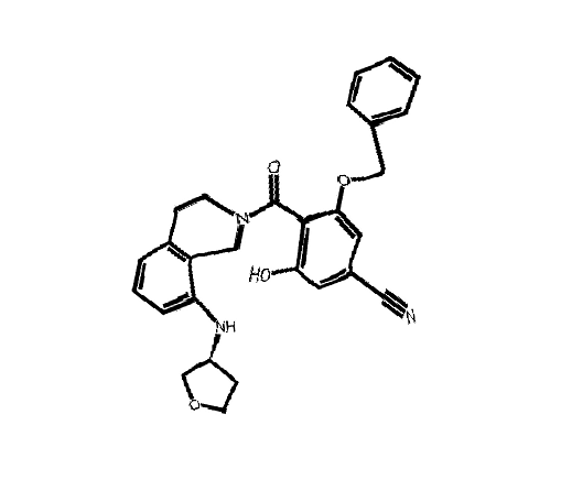 N#Cc1cc(O)c(C(=O)N2CCc3cccc(N[C@H]4CCOC4)c3C2)c(OCc2ccccc2)c1